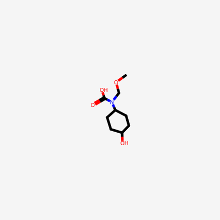 COCN(C(=O)O)C1CCC(O)CC1